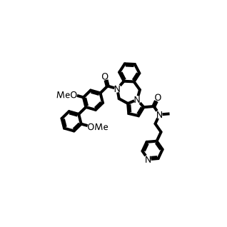 COc1ccccc1-c1ccc(C(=O)N2Cc3ccc(C(=O)N(C)CCc4ccncc4)n3Cc3ccccc32)cc1OC